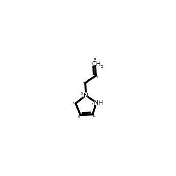 C=CCN1CC=CN1